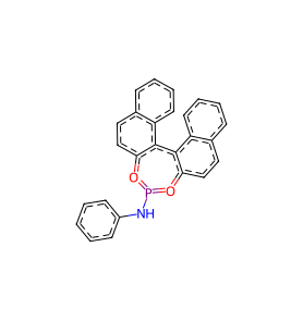 c1ccc(Np2oc3ccc4ccccc4c3c3c(ccc4ccccc43)o2)cc1